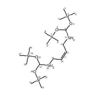 C[Si](C)(C)OC(O[Si](C)(C)C)[SiH2]C/C=C\C[SiH2]C(O[Si](C)(C)C)O[Si](C)(C)C